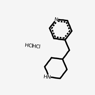 Cl.Cl.c1cc(CC2CCNCC2)ccn1